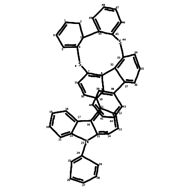 C1=CCC2C(=C1)SC1=C(CC(c3cccc4c3c3ccccc3n4-c3ccccc3)C=C1)c1c(cccc1-c1ccccc1)Sc1ccccc12